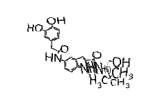 CC(C)(C)[C@@H](CO)NC(=O)c1cc2cc(NC(=O)Cc3ccc(O)c(O)c3)ccc2[nH]1